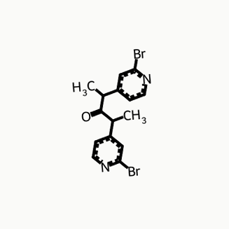 CC(C(=O)C(C)c1ccnc(Br)c1)c1ccnc(Br)c1